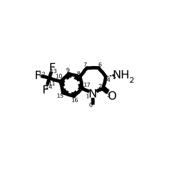 CN1C(=O)[C@@H](N)CCc2cc(C(F)(F)F)ccc21